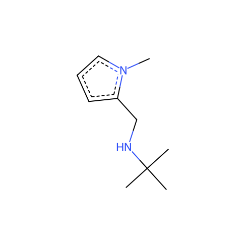 Cn1cccc1CNC(C)(C)C